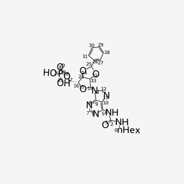 CCCCCCNC(=O)Nc1ncnc2c1ncn2[C@@H]1O[C@H](COP(=O)(O)O)C2OC(c3ccccc3)OC21